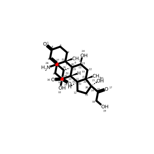 C[C@]12CCC(=O)C=C1CC[C@H]1[C@@H]3CC[C@](O)(C(=O)CO)[C@@]3(C)C[C@H](O)[C@@]12C(CN)S(=O)(=O)O